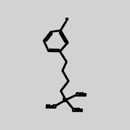 CO[Si](CCCCc1cccc(F)c1)(OC)OC